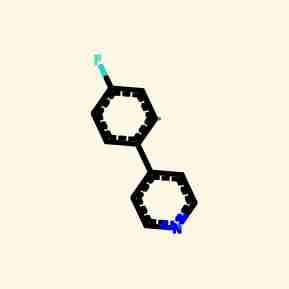 Fc1c[c]c(-c2ccncc2)cc1